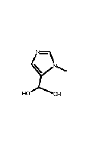 Cn1cncc1C(O)O